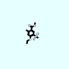 CCOc1cc(C)c(C(=O)OC)cc1S(C)(=O)=O